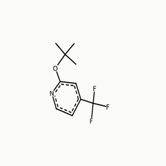 CC(C)(C)Oc1cc(C(F)(F)F)ccn1